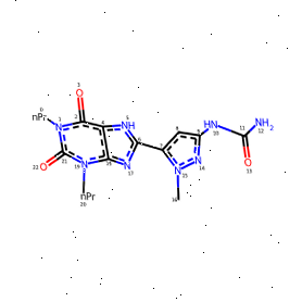 CCCn1c(=O)c2[nH]c(-c3cc(NC(N)=O)nn3C)nc2n(CCC)c1=O